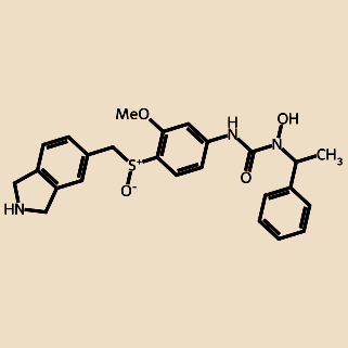 COc1cc(NC(=O)N(O)C(C)c2ccccc2)ccc1[S+]([O-])Cc1ccc2c(c1)CNC2